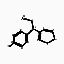 CC(=O)CN(C1=CC[CH]C=C1)c1ccc(C)cc1